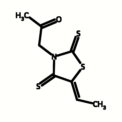 C/C=C1\SC(=S)N(CC(C)=O)C1=S